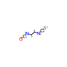 O=C=NCCN=C=S